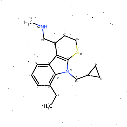 CCc1cccc2c3c(n(CC4CC4)c12)SCCC3CNC